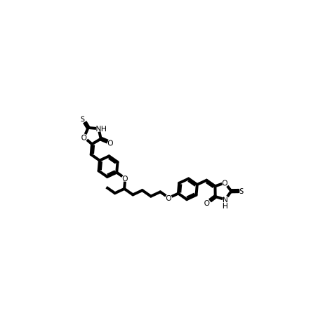 CCC(CCCCOc1ccc(C=C2OC(=S)NC2=O)cc1)Oc1ccc(C=C2OC(=S)NC2=O)cc1